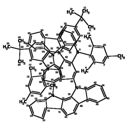 Cc1cc(C)c(B2c3cc(C(C)(C)C)ccc3N3c4ccc(C(C)(C)C)cc4B(c4c(C)cc(C)cc4C)c4cc(-n5c6ccccc6c6ccc7c8ccccc8n(-c8ccc(-n9c%10ccccc%10c%10ccccc%109)cc8)c7c65)cc2c43)c(C)c1